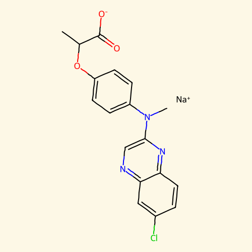 CC(Oc1ccc(N(C)c2cnc3cc(Cl)ccc3n2)cc1)C(=O)[O-].[Na+]